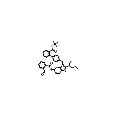 CCCC(Br)c1nc2c(n1Cc1ccc(-c3ccccc3C(=O)OC(C)(C)C)cc1)CC(=NC(=O)c1ccccc1C=O)C=C2